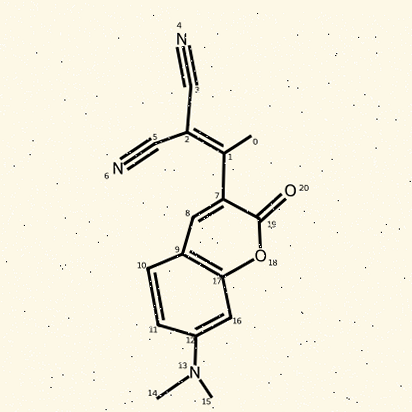 CC(=C(C#N)C#N)c1cc2ccc(N(C)C)cc2oc1=O